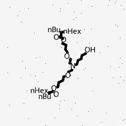 CCCCCCC(CCCC)C(=O)OCCCCOCCN(CCCCCO)CCOCCCCOC(=O)C(CCCC)CCCCCC